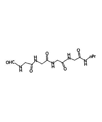 CCCNC(=O)CNC(=O)CNC(=O)CNC(=O)CNC=O